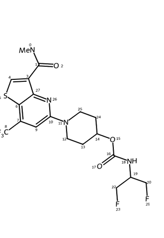 CNC(=O)c1csc2c(C(F)(F)F)cc(N3CCC(OC(=O)NC(CF)CF)CC3)nc12